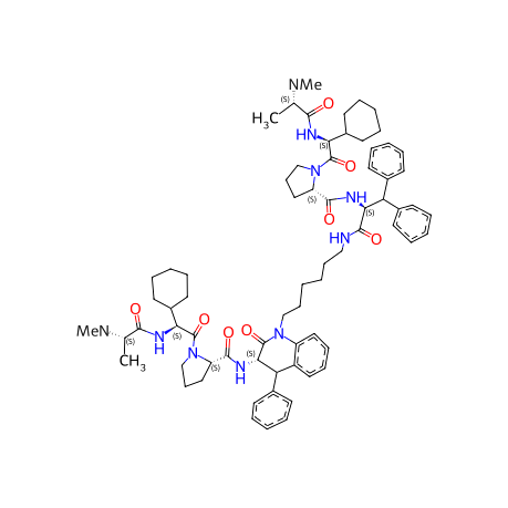 CN[C@@H](C)C(=O)N[C@H](C(=O)N1CCC[C@H]1C(=O)N[C@H](C(=O)NCCCCCCN1C(=O)[C@@H](NC(=O)[C@@H]2CCCN2C(=O)[C@@H](NC(=O)[C@H](C)NC)C2CCCCC2)C(c2ccccc2)c2ccccc21)C(c1ccccc1)c1ccccc1)C1CCCCC1